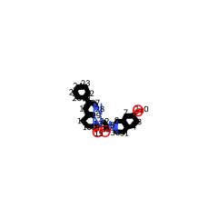 COc1ccc2c(c1)CN(C(=O)CN1C(=O)CCc3cc(-c4ccccc4)cnc31)CC2